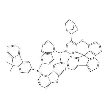 CC1(C)c2ccccc2-c2cc(N(c3ccccc3)c3cccc4oc5ccc(N(c6ccccc6)c6cc(C7CC8CCC7C8)c7c(c6)C6(c8ccccc8O7)c7ccccc7-c7ccccc76)cc5c34)ccc21